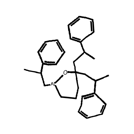 CC([CH2][Al]1[CH2]CCC(CC(C)c2ccccc2)(CC(C)c2ccccc2)[O]1)c1ccccc1